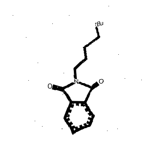 CC(C)(C)CCCCN1C(=O)c2ccccc2C1=O